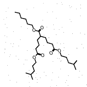 CCCCCCOC(=O)C(CCCC(=O)OCCCC(C)C)CCCC(=O)OCCCC(C)C